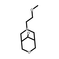 COCCN1CC2COCC(C1)C2[O]